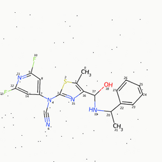 Cc1sc(N(C#N)c2cc(F)nc(F)c2)nc1C(O)NC(C)c1ccccc1